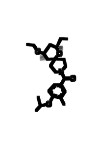 CCO[C@H]1C[C@@H](CC)OC2(CCN(C(=O)c3ccc(OC(C)C)c(C)c3)CC2)C1